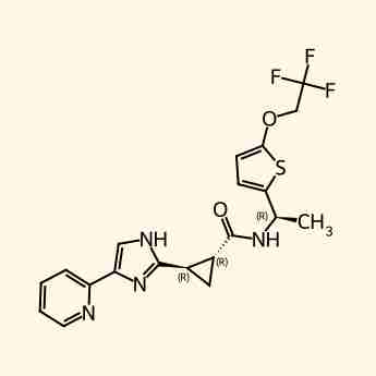 C[C@@H](NC(=O)[C@@H]1C[C@H]1c1nc(-c2ccccn2)c[nH]1)c1ccc(OCC(F)(F)F)s1